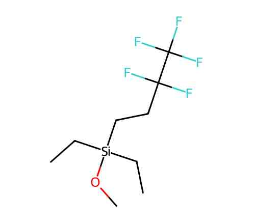 CC[Si](CC)(CCC(F)(F)C(F)(F)F)OC